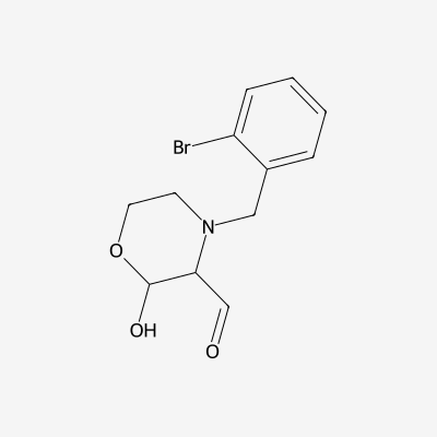 O=CC1C(O)OCCN1Cc1ccccc1Br